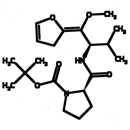 COC(=C1CC=CO1)[C@H](NC(=O)[C@@H]1CCCN1C(=O)OC(C)(C)C)C(C)C